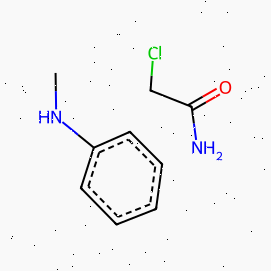 CNc1ccccc1.NC(=O)CCl